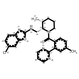 Cc1ccc(C(=O)N2CCC[C@@H](C)[C@H]2CNc2nc3ccc(Cl)cc3o2)c(-c2ncccn2)c1